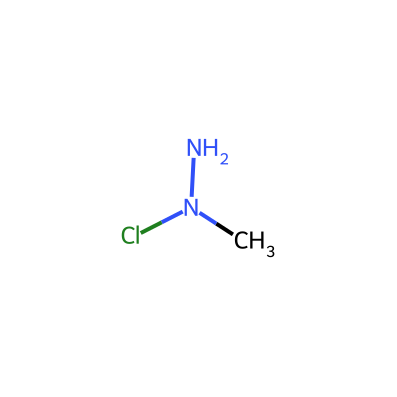 CN(N)Cl